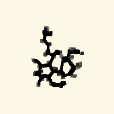 CCOC(=O)C1=C(C)NC(C)=C(C(=O)OCCO)C1c1cccc([N+](=O)[O-])c1